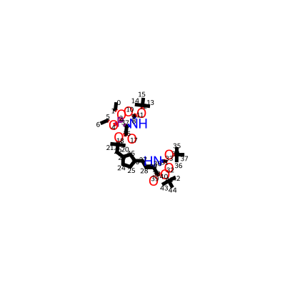 CCOP(OCC)C(NC(=O)OC(C)(C)C)C(=O)OC(C)(C)CC1CCC(C/C=C(\NC(=O)OC(C)(C)C)C(=O)OC(C)(C)C)C1